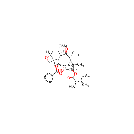 CO[C@H]1C[C@H]2OC[C@@]2(OC(C)=O)C2[C@H](OC(=O)c3ccccc3)[C@]3(O)C[C@H](OC(=O)[C@H](C)[C@H](C)CC(C)=O)C(C)=C([C@@H](C)C(=O)[C@@]21C)C3(C)C